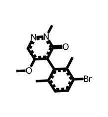 COc1cnn(C)c(=O)c1-c1c(C)ccc(Br)c1C